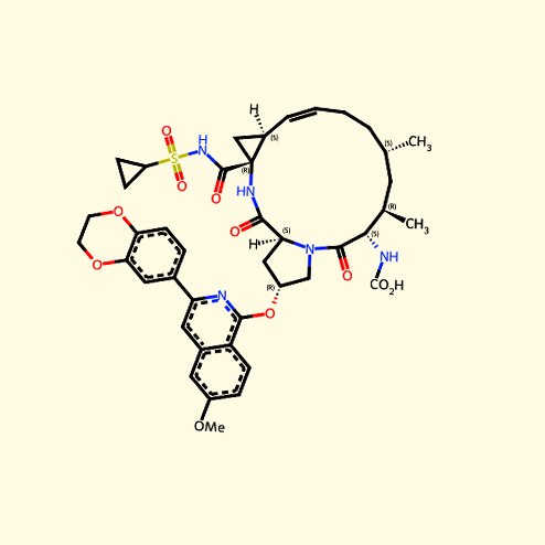 COc1ccc2c(O[C@@H]3C[C@H]4C(=O)N[C@]5(C(=O)NS(=O)(=O)C6CC6)C[C@H]5C=CCC[C@H](C)C[C@@H](C)[C@H](NC(=O)O)C(=O)N4C3)nc(-c3ccc4c(c3)OCCO4)cc2c1